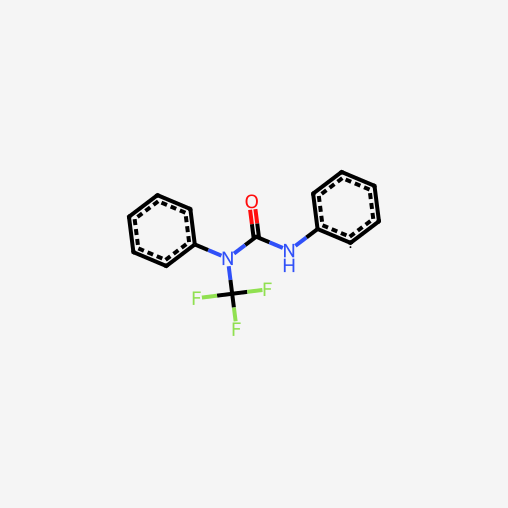 O=C(Nc1[c]cccc1)N(c1ccccc1)C(F)(F)F